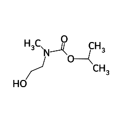 CC(C)OC(=O)N(C)CCO